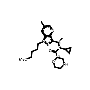 COCCCCn1nc([C@@H](C)N(C(=O)[C@H]2CNCCO2)C2CC2)c2ncc(C)cc21